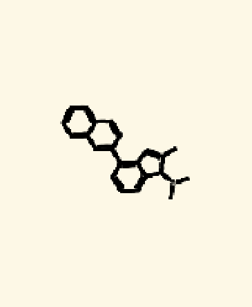 CC1=Cc2c(-c3ccc4ccccc4c3)cccc2[CH]1[Zr]([CH3])[CH3]